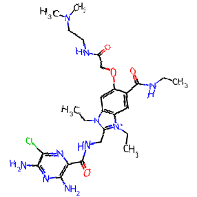 CCNC(=O)c1cc2c(cc1OCC(=O)NCCN(C)C)n(CC)c(CNC(=O)c1nc(Cl)c(N)nc1N)[n+]2CC